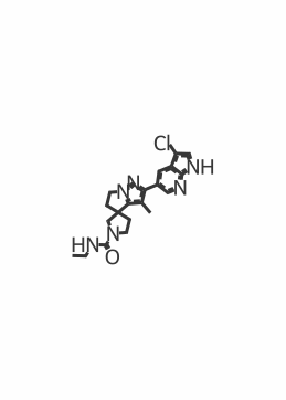 CCNC(=O)N1CCC2(CCn3nc(-c4cnc5[nH]cc(Cl)c5c4)c(C)c32)C1